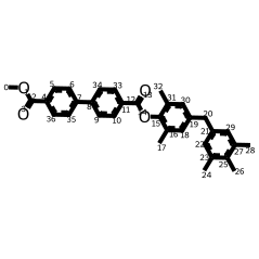 COC(=O)c1ccc(-c2ccc(C(=O)Oc3c(C)cc(Cc4cc(C)c(C)c(C)c4)cc3C)cc2)cc1